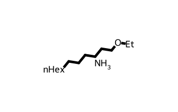 CCCCCCCCCCCCOCC.N